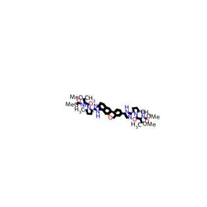 COC(=O)N[C@H](C(=O)N1[C@@H](C)CC[C@H]1c1ncc(-c2ccc3c(c2)COc2cc4c(ccc5nc([C@@H]6CC[C@H](C)N6C(=O)[C@@H](NC(=O)OC)[C@@H](C)OC)[nH]c54)cc2-3)[nH]1)[C@@H](C)OC